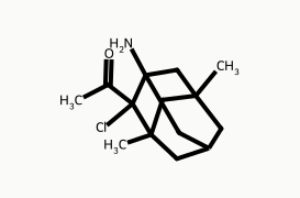 CC(=O)C1(Cl)C2(C)CC3CC(C)(C2)CC1(N)C3